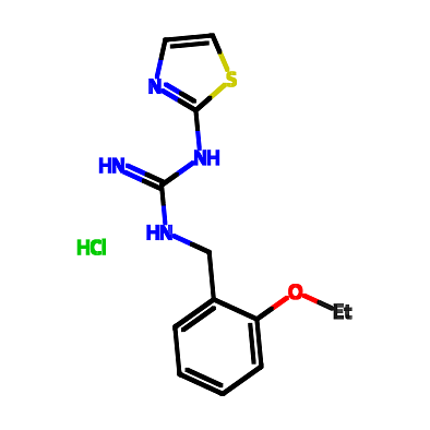 CCOc1ccccc1CNC(=N)Nc1nccs1.Cl